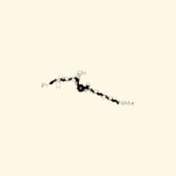 CNCCCOCCOCCOCCNC(=O)c1cccc(OC[C@](C)(OCCOCC(=O)NCC#CC(C)C)SC#N)c1